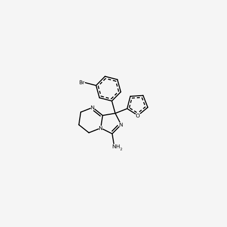 NC1=NC(c2cccc(Br)c2)(c2ccco2)C2=NCCCN12